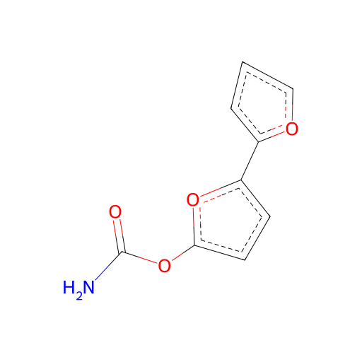 NC(=O)Oc1ccc(-c2ccco2)o1